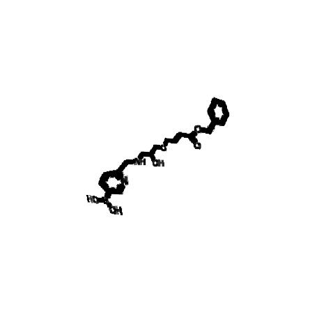 O=C(CCCOCC(O)CNCc1ccc(B(O)O)cn1)OCc1ccccc1